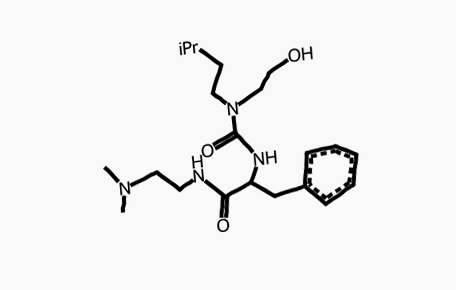 CC(C)CCN(CCO)C(=O)NC(Cc1ccccc1)C(=O)NCCN(C)C